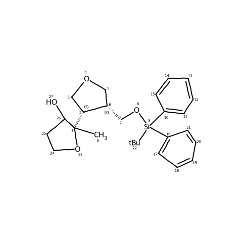 CC1([C@@H]2COC[C@@H]2CO[Si](c2ccccc2)(c2ccccc2)C(C)(C)C)OCCC1O